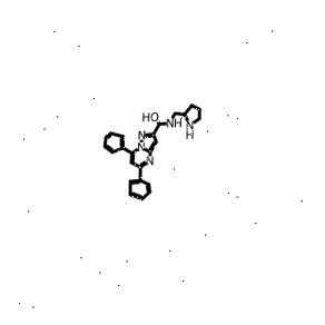 OC(NCC1CCCN1)c1cc2nc(-c3ccccc3)cc(-c3ccccc3)n2n1